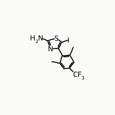 Cc1cc(C(F)(F)F)cc(C)c1-c1nc(N)sc1I